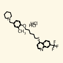 Cc1cc(CN2CCCCC2)ccc1OCCCCCSc1ccnc2cc(C(F)(F)F)ccc12.Cl.Cl